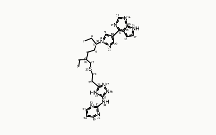 CC[C@@H](CC[C@@H](CC)n1cc(-c2ncnc3[nH]ccc23)cn1)CSCCc1nnc(Nc2ncccn2)[nH]1